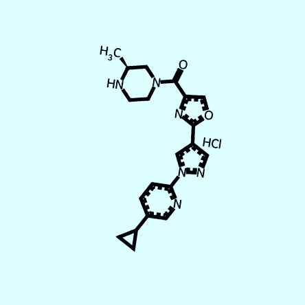 C[C@H]1CN(C(=O)c2coc(-c3cnn(-c4ccc(C5CC5)cn4)c3)n2)CCN1.Cl